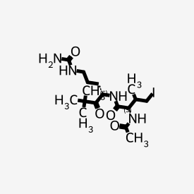 CC(=O)N[C@H](C(=O)N[C@@H](CCCNC(N)=O)C(=O)C(C)(C)C)C(C)CI